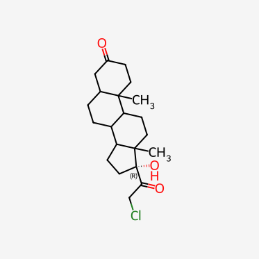 CC12CCC(=O)CC1CCC1C2CCC2(C)C1CC[C@]2(O)C(=O)CCl